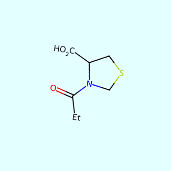 CCC(=O)N1CSCC1C(=O)O